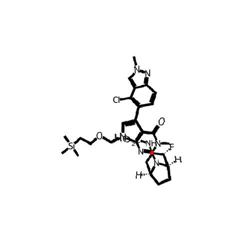 Cn1cc2c(Cl)c(-c3cn(COCC[Si](C)(C)C)c4nc(N5[C@H]6CC[C@@H]5[C@@H](F)[C@H](NC(=O)O)C6)n(C)c(=O)c34)ccc2n1